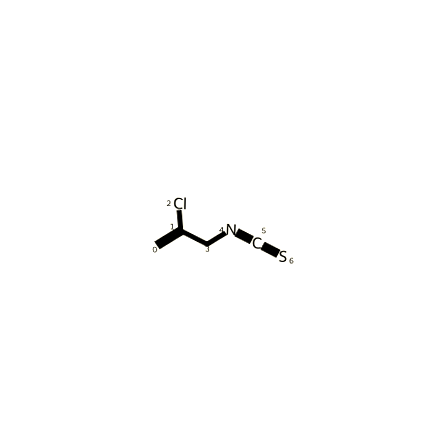 C=C(Cl)CN=C=S